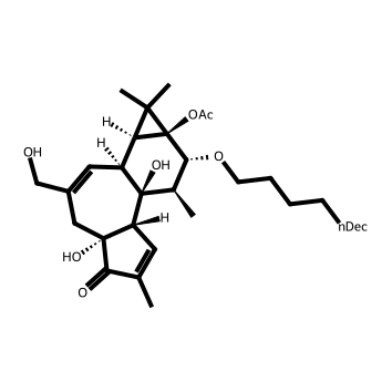 CCCCCCCCCCCCCCO[C@@H]1[C@@H](C)[C@@]2(O)[C@@H](C=C(CO)C[C@]3(O)C(=O)C(C)=C[C@@H]23)[C@H]2C(C)(C)[C@]12OC(C)=O